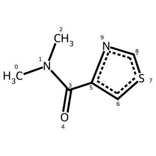 CN(C)C(=O)c1cs[c]n1